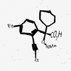 CCC#Cc1cc(CC)ccc1[C@](ONC)(C(=O)O)C1CCCCC1